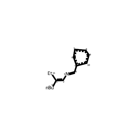 CCCCC(=CN=Cc1ccccc1)CC